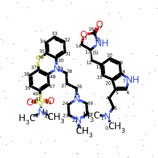 CN(C)CCc1c[nH]c2ccc(C[C@H]3COC(=O)N3)cc12.CN1CCN(CCCN2c3ccccc3Sc3ccc(S(=O)(=O)N(C)C)cc32)CC1